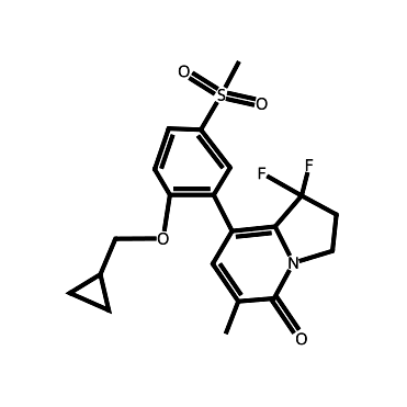 Cc1cc(-c2cc(S(C)(=O)=O)ccc2OCC2CC2)c2n(c1=O)CCC2(F)F